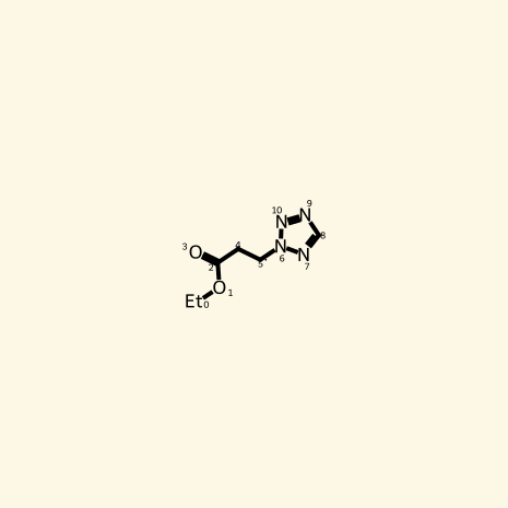 CCOC(=O)C[CH]n1ncnn1